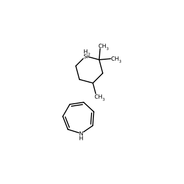 C1=CC=CNC=C1.CC1CC[SiH2]C(C)(C)C1